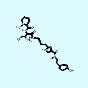 CCC(C)C(NC(=O)C1CCCCN1C)C(=O)NCCCc1nc(C(=O)N(F)CCC2=CCC(O)C=C2)c[nH]1